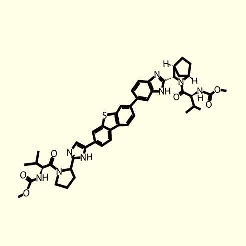 COC(=O)N[C@H](C(=O)N1CCCC1c1ncc(-c2ccc3c(c2)sc2cc(-c4ccc5nc([C@@H]6[C@H]7CC[C@H](C7)N6C(=O)[C@@H](NC(=O)OC)C(C)C)[nH]c5c4)ccc23)[nH]1)C(C)C